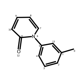 Cc1cccc(-n2ccccc2=O)c1